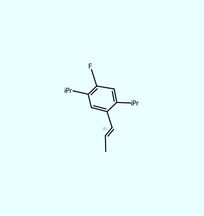 C/C=C/c1cc(C(C)C)c(F)cc1C(C)C